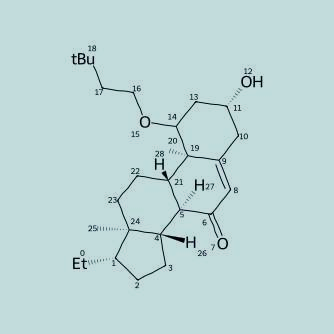 CC[C@H]1CC[C@H]2[C@@H]3C(=O)C=C4C[C@@H](O)CC(OCCC(C)(C)C)[C@]4(C)[C@H]3CC[C@]12C